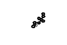 C1=CC2Oc3c(-c4cccc(-c5c6ccccc6c(-c6ccc7ccccc7c6)c6ccccc56)c4)cccc3C2C=C1